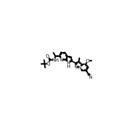 COc1cc(C#N)cn2nc(-c3cc4ccc(C(C)NC(=O)OC(C)(C)C)nc4[nH]3)c(C)c12